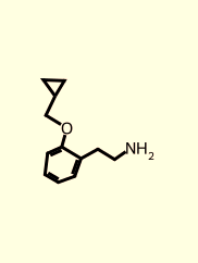 NCCc1ccccc1OCC1CC1